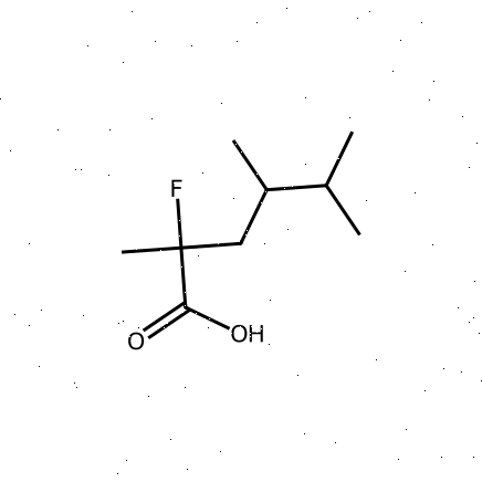 CC(C)C(C)CC(C)(F)C(=O)O